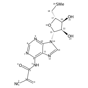 C=C(C#N)C(=O)Nc1ncnc2c1ncn2[C@@H]1O[C@H](CSC)[C@@H](O)[C@H]1O